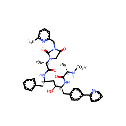 Cc1cccc(CN2C(=O)CN([C@H](C(=O)N[C@@H](Cc3ccccc3)C[C@H](O)[C@H](Cc3ccc(-c4ccccn4)cc3)NC(=O)[C@@H](NC(=O)O)C(C)(C)C)C(C)(C)C)C2=O)n1